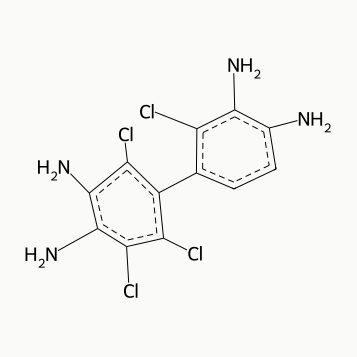 Nc1ccc(-c2c(Cl)c(N)c(N)c(Cl)c2Cl)c(Cl)c1N